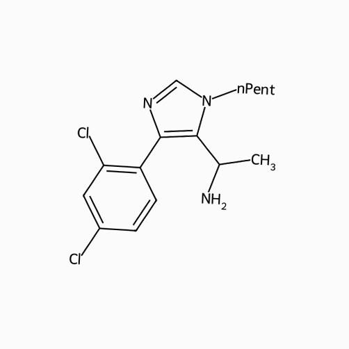 CCCCCn1cnc(-c2ccc(Cl)cc2Cl)c1C(C)N